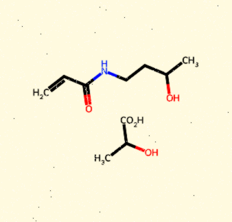 C=CC(=O)NCCC(C)O.CC(O)C(=O)O